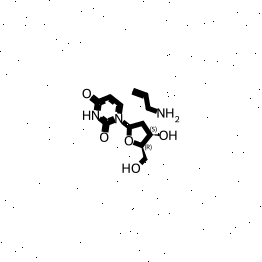 C=CCN.O=c1ccn(C2C[C@H](O)[C@@H](CO)O2)c(=O)[nH]1